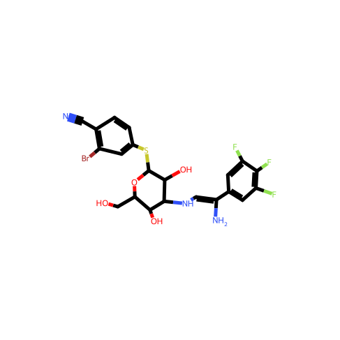 N#Cc1ccc(SC2OC(CO)C(O)C(N/C=C(\N)c3cc(F)c(F)c(F)c3)C2O)cc1Br